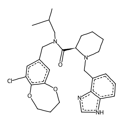 CC(C)CN(Cc1cc(Cl)c2c(c1)OCCCO2)C(=O)[C@H]1CCCCN1Cc1cccc2[nH]cnc12